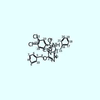 CCn1c(OCc2ccccc2)nnc1[C@@H](Cc1ccccc1)NS(=O)(=O)c1ccc(Cl)c(Cl)c1